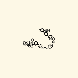 O=C1CCC(N2C(=O)c3ccc(N4CCN(CCCC5CCN(C[C@H]6C[C@H](Oc7ccc(-c8ccc9c(c8)[nH]c8ccncc89)cn7)C6)CC5)CC4)cc3C2=O)C(=O)N1